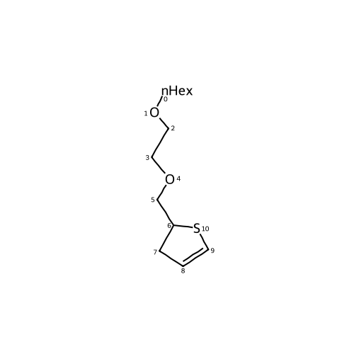 CCCCCCOCCOCC1CC=CS1